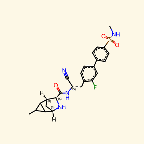 CNS(=O)(=O)c1ccc(-c2ccc(C[C@@H](C#N)NC(=O)[C@H]3N[C@H]4C[C@@H]3C3C(C)C34)c(F)c2)cc1